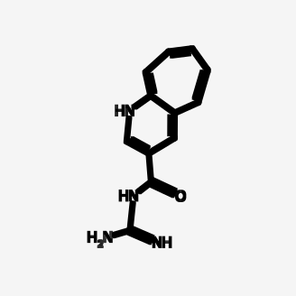 N=C(N)NC(=O)C1=CNC2=CC=CC=CC2=C1